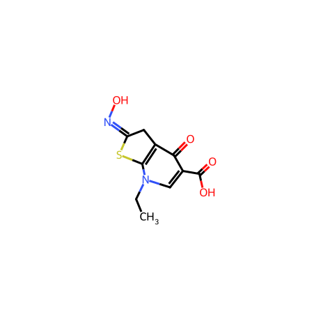 CCn1cc(C(=O)O)c(=O)c2c1SC(=NO)C2